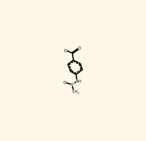 C[S+]([O-])Nc1ccc(C(=O)Cl)cc1